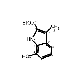 CCOC(=O)c1[nH]c2c(O)cccc2c1C